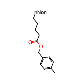 CCCCCCCCCCCCCC(=O)OCc1ccc(C)cc1